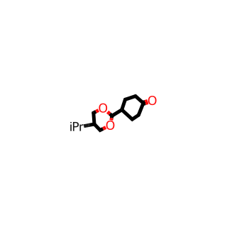 CC(C)C1COC(C2CCC(=O)CC2)OC1